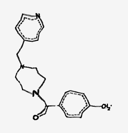 [CH2]c1ccc(C(=O)N2CCN(Cc3ccncc3)CC2)cc1